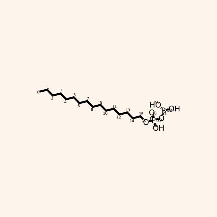 CCCCCCCCCCCCCCCCOP(=O)(O)OB(O)O